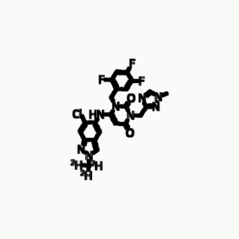 [2H]C([2H])([2H])n1cc2cc(Nc3cc(=O)n(Cc4ncn(C)n4)c(=O)n3Cc3cc(F)c(F)cc3F)c(Cl)cc2n1